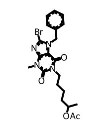 CC(=O)OC(C)CCCCn1c(=O)c2c(nc(Br)n2Cc2ccccc2)n(C)c1=O